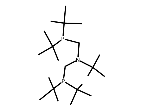 CC(C)(C)N(CP(C(C)(C)C)C(C)(C)C)CP(C(C)(C)C)C(C)(C)C